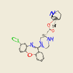 O=C(C[C@H]1CN(C2=Nc3cc(Cl)ccc3Oc3ccccc32)CCN1)O[C@H]1CN2CCC1CC2